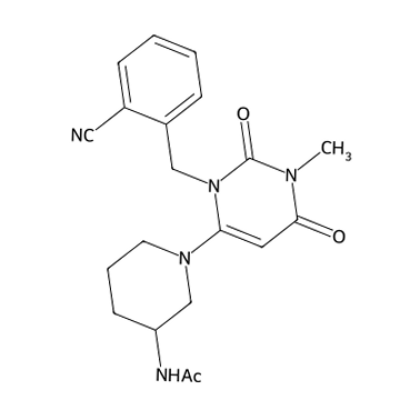 CC(=O)NC1CCCN(c2cc(=O)n(C)c(=O)n2Cc2ccccc2C#N)C1